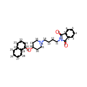 O=C1c2ccccc2C(=O)N1CCCCN1CCC(Oc2cccc3ccccc23)CC1